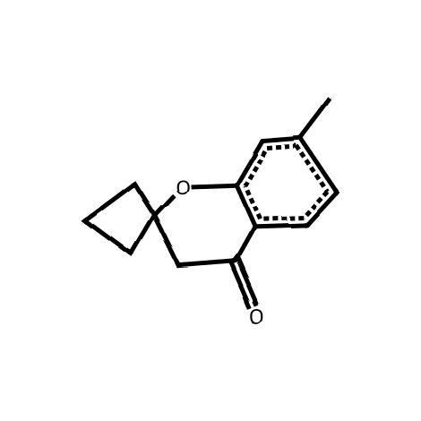 Cc1ccc2c(c1)OC1(CCC1)CC2=O